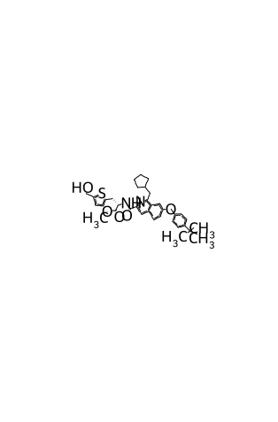 COC(=O)[C@H](Cc1ccc(CO)s1)NC(=O)c1cc2ccc(Oc3ccc(C(C)(C)C)cc3)cc2c(CC2CCCC2)n1